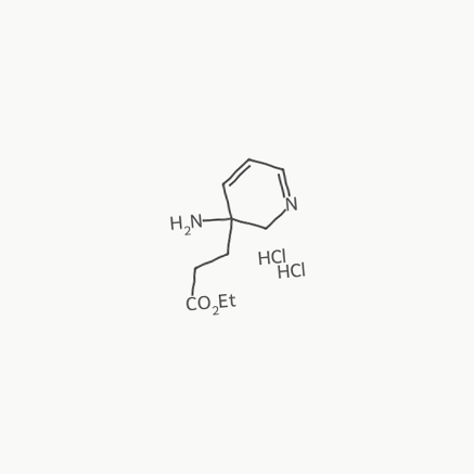 CCOC(=O)CCC1(N)C=CC=NC1.Cl.Cl